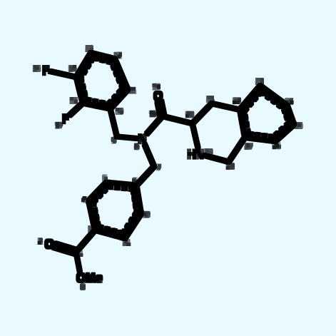 COC(=O)c1ccc(CN(Cc2cccc(F)c2F)C(=O)C2Cc3ccccc3CN2)cc1